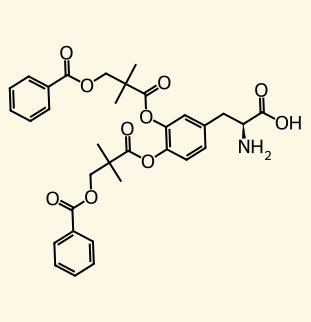 CC(C)(COC(=O)c1ccccc1)C(=O)Oc1ccc(C[C@H](N)C(=O)O)cc1OC(=O)C(C)(C)COC(=O)c1ccccc1